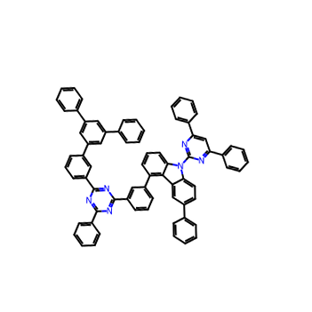 c1ccc(-c2cc(-c3ccccc3)cc(-c3cccc(-c4nc(-c5ccccc5)nc(-c5cccc(-c6cccc7c6c6cc(-c8ccccc8)ccc6n7-c6nc(-c7ccccc7)cc(-c7ccccc7)n6)c5)n4)c3)c2)cc1